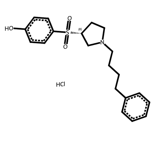 Cl.O=S(=O)(c1ccc(O)cc1)[C@@H]1CCN(CCCCc2ccccc2)C1